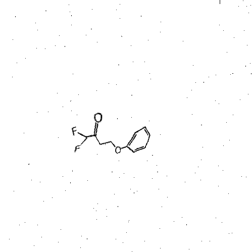 O=C(CCOc1ccccc1)C(F)F